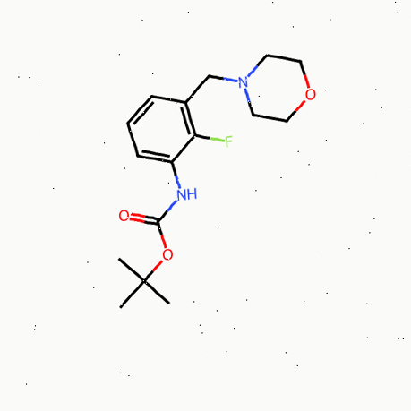 CC(C)(C)OC(=O)Nc1cccc(CN2CCOCC2)c1F